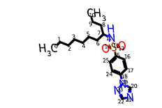 CCCCCCCC(CCC)NS(=O)(=O)c1ccc(-n2cncn2)cc1